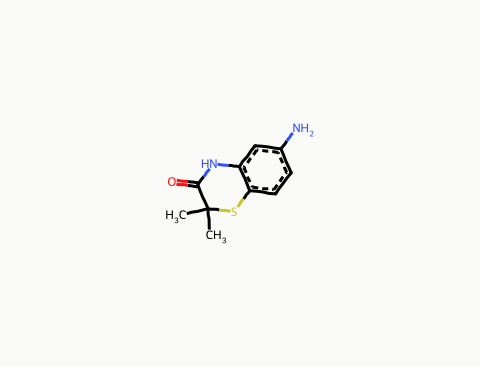 CC1(C)Sc2ccc(N)cc2NC1=O